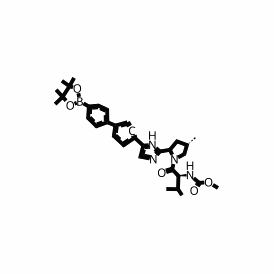 COC(=O)N[C@H](C(=O)N1C[C@@H](C)CC1c1ncc(-c2ccc(-c3ccc(B4OC(C)(C)C(C)(C)O4)cc3)cc2)[nH]1)C(C)C